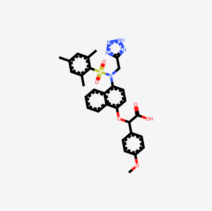 COc1ccc(C(Oc2ccc(N(Cc3nn[nH]n3)S(=O)(=O)c3c(C)cc(C)cc3C)c3ccccc23)C(=O)O)cc1